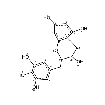 Oc1cc(O)c2c(c1)OC(Cc1cc(O)c(O)c(O)c1)C(O)C2